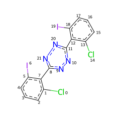 Clc1cccc(I)c1-c1nnc(-c2c(Cl)cccc2I)nn1